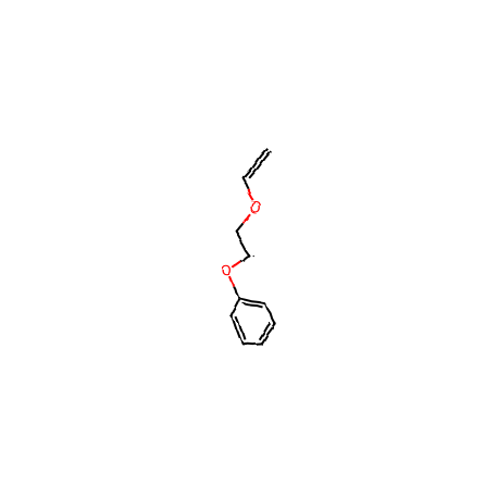 C=COC[CH]Oc1ccccc1